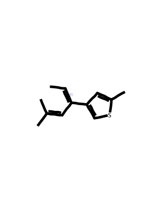 C/C=C(\C=C(C)C)c1csc(C)c1